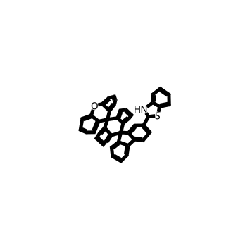 c1ccc2c(c1)NC(c1ccc3c(c1)C1(c4ccccc4-3)c3ccccc3C3(c4ccccc4Oc4ccccc43)c3ccccc31)S2